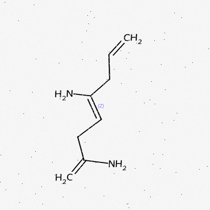 C=CC/C(N)=C/CC(=C)N